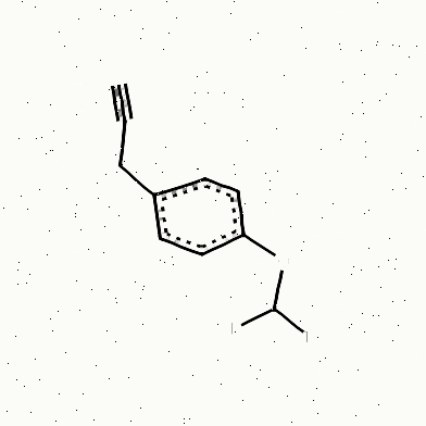 C#C[CH]c1ccc(OC(F)F)cc1